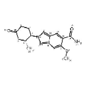 COc1cc2nn([C@@H]3CCC(=O)C[C@H]3C)cc2cc1C(N)=O